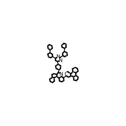 c1ccc(-c2cccc(-c3cc(-c4ccc(-c5nc6c(-c7ccc8c9ccccc9c9ccccc9c8c7)cccc6c6c5ccc5ccccc56)cc4)nc(-c4cccc(-c5ccccc5)c4)n3)c2)cc1